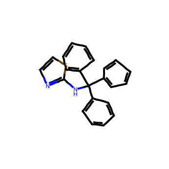 [c]1csc(NC(c2ccccc2)(c2ccccc2)c2ccccc2)n1